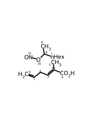 C=CCC=C(C)C(=O)O.CCCCCCC(C)ON=O